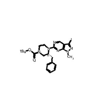 Cn1nc(I)c2cnc(N3CCN(C(=O)OC(C)(C)C)C[C@H]3Cc3ccccc3)nc21